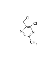 Cc1cnc(CCl)c(Cl)n1